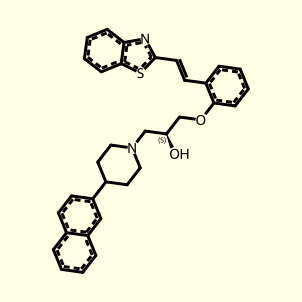 O[C@H](COc1ccccc1C=Cc1nc2ccccc2s1)CN1CCC(c2ccc3ccccc3c2)CC1